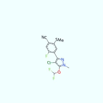 CSc1cc(-c2nn(C)c(OC(F)F)c2Cl)c(F)cc1C#N